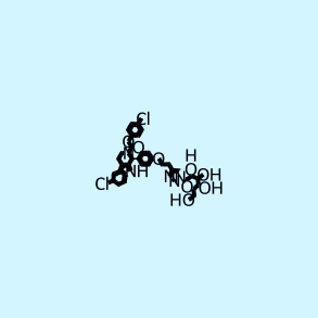 O=C(Oc1ccc(Cl)cc1)N1CCc2c([nH]c3c2=CC(Cl)CC=3)[C@@H]1c1ccc(OCCc2cn(C3OC(CO)C(O)C(O)C3O)nn2)cc1